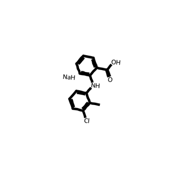 Cc1c(Cl)cccc1Nc1ccccc1C(=O)O.[NaH]